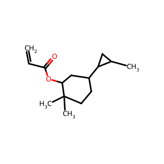 C=CC(=O)OC1CC(C2CC2C)CCC1(C)C